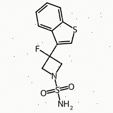 NS(=O)(=O)N1CC(F)(c2csc3ccccc23)C1